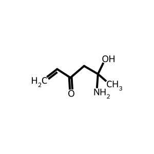 C=CC(=O)CC(C)(N)O